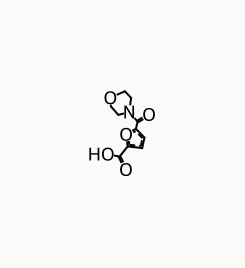 O=C(O)c1ccc(C(=O)N2CCOCC2)o1